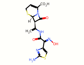 C=C(NC(=O)C(=NO)c1csc(N)n1)[C@@H]1C(=O)N2C(C(=O)O)=CCS[C@H]12